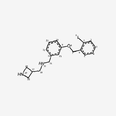 Ic1ccccc1COc1cccc(CNCC2CNC2)c1